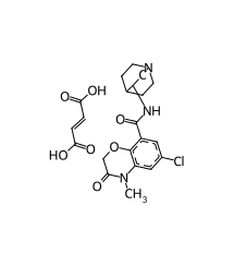 CN1C(=O)COc2c(C(=O)NC3CN4CCC3CC4)cc(Cl)cc21.O=C(O)/C=C/C(=O)O